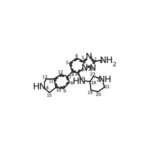 Nc1nc2ccc(-c3ccc4c(c3)CNC4)c(NC3CCCNC3)n2n1